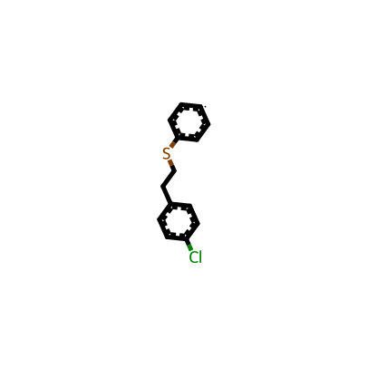 Clc1ccc(CCSc2cc[c]cc2)cc1